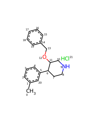 Cc1cccc(C2CCNCC2OCc2ccccc2)c1.Cl